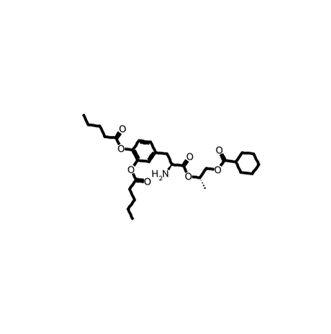 CCCCC(=O)Oc1ccc(C[C@H](N)C(=O)O[C@@H](C)COC(=O)C2CCCCC2)cc1OC(=O)CCCC